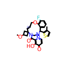 COC1CC2(/C=C/COc3c(F)cccc3C(c3sccc3C)N3CN2C(=O)c2c(O)c(=O)ccn23)C1